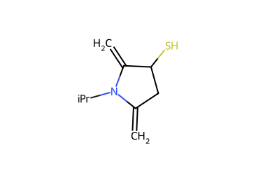 C=C1CC(S)C(=C)N1C(C)C